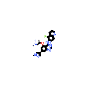 CNC[C@@H](C)Oc1cc(-c2cnn(C)c2)cc2ncnc(Nc3ccc4ncccc4c3F)c12